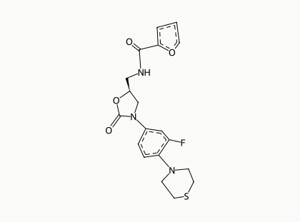 O=C(NC[C@H]1CN(c2ccc(N3CCSCC3)c(F)c2)C(=O)O1)c1ccco1